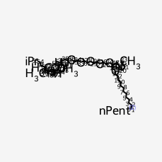 CCCCC/C=C\CCCCCCCCCCCOCC(CN1CCCC1C)OCCOCCOCCOCCO[C@H]1CC[C@@]2(C)C(=CC[C@H]3[C@@H]4CC[C@H]([C@H](C)CCCC(C)C)[C@@]4(C)CC[C@@H]32)C1